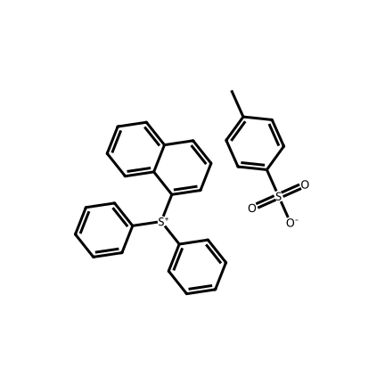 Cc1ccc(S(=O)(=O)[O-])cc1.c1ccc([S+](c2ccccc2)c2cccc3ccccc23)cc1